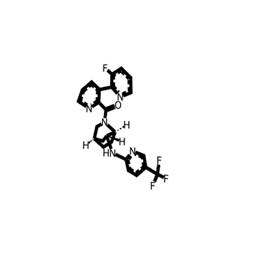 O=C(c1ncccc1-c1ncccc1F)N1C[C@@H]2CC[C@H]1[C@H](Nc1ccc(C(F)(F)F)cn1)C2